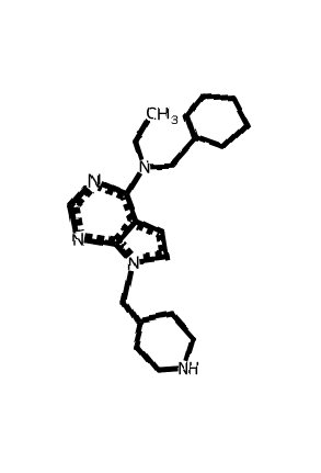 CCN(CC1CCCCC1)c1ncnc2c1ccn2CC1CCNCC1